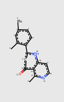 Cc1cc(C(C)(C)C)ccc1-c1cc(=O)c2c(C)nccc2[nH]1